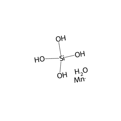 O.O[Si](O)(O)O.[Mn]